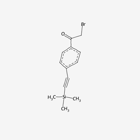 C[Si](C)(C)C#Cc1ccc(C(=O)CBr)cc1